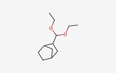 CCOC(OCC)C1CC2CCC1C2